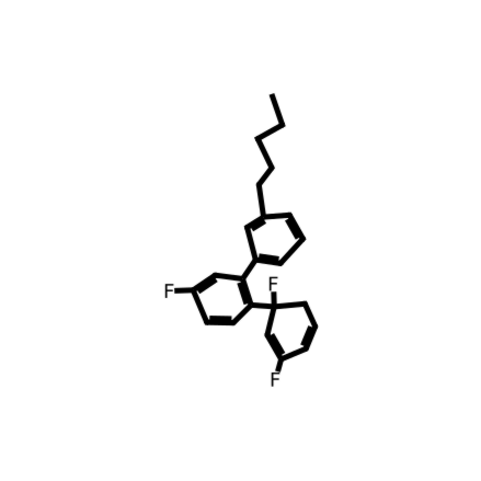 CCCCCc1cccc(-c2cc(F)ccc2C2(F)C=C(F)C=CC2)c1